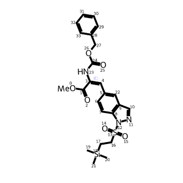 COC(=O)/C(=C\c1ccc2c(cnn2S(=O)(=O)CC[Si](C)(C)C)c1)NC(=O)OCc1ccccc1